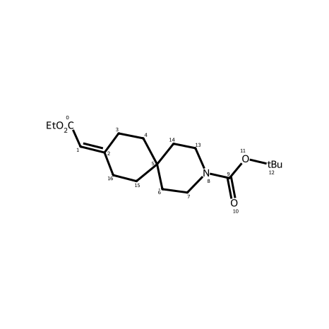 CCOC(=O)C=C1CCC2([CH]CN(C(=O)OC(C)(C)C)CC2)CC1